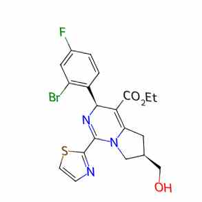 CCOC(=O)C1=C2C[C@@H](CO)CN2C(c2nccs2)=N[C@H]1c1ccc(F)cc1Br